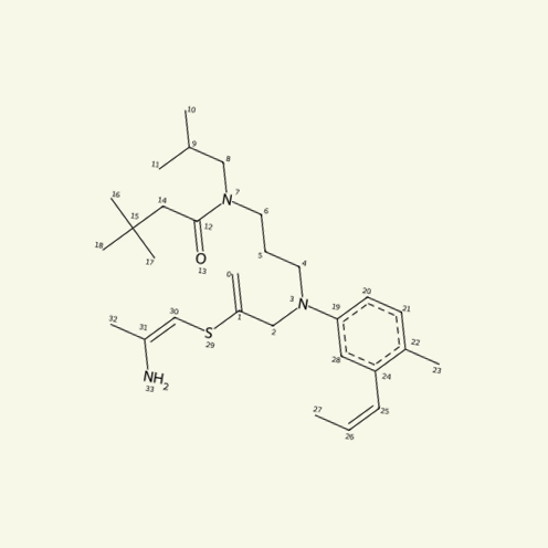 C=C(CN(CCCN(CC(C)C)C(=O)CC(C)(C)C)c1ccc(C)c(/C=C\C)c1)S/C=C(/C)N